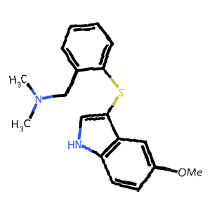 COc1ccc2[nH]cc(Sc3ccccc3CN(C)C)c2c1